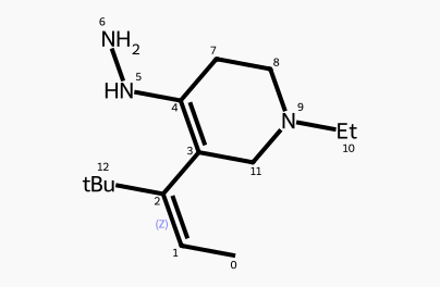 C/C=C(\C1=C(NN)CCN(CC)C1)C(C)(C)C